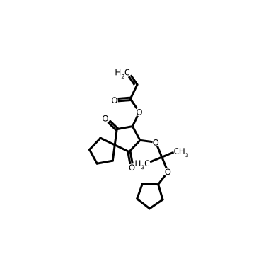 C=CC(=O)OC1C(=O)C2(CCCC2)C(=O)C1OC(C)(C)OC1CCCC1